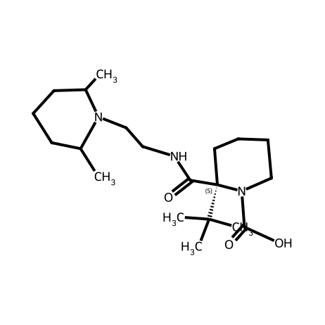 CC1CCCC(C)N1CCNC(=O)[C@@]1(C(C)(C)C)CCCCN1C(=O)O